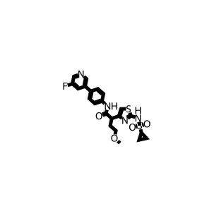 COCCC(C(=O)Nc1ccc(-c2cncc(F)c2)cc1)c1csc(NS(=O)(=O)C2CC2)n1